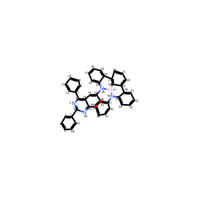 c1ccc(-c2nc(-c3ccccc3)c3cc(N4B5c6c(cccc6-c6ccccc64)-c4ccccc4N5c4ccccc4)ccc3n2)cc1